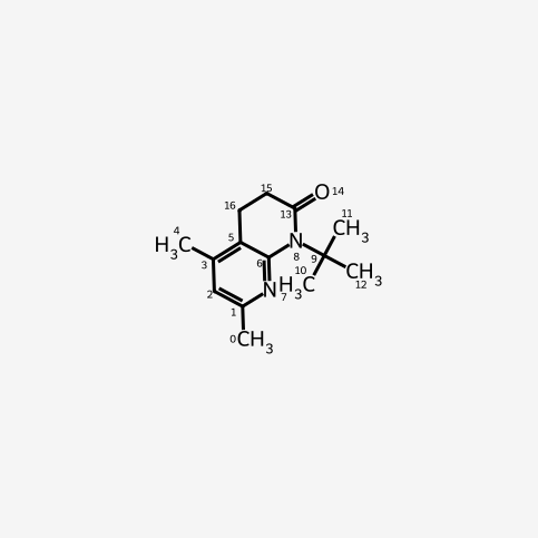 Cc1cc(C)c2c(n1)N(C(C)(C)C)C(=O)CC2